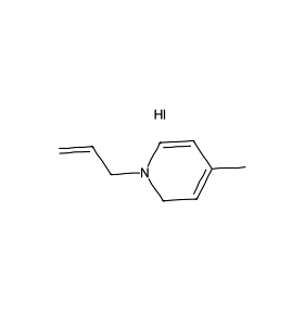 C=CCN1C=CC(C)=CC1.I